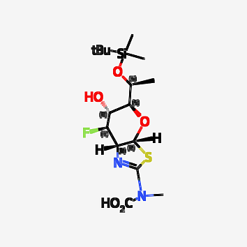 C[C@H](O[Si](C)(C)C(C)(C)C)[C@H]1O[C@@H]2SC(N(C)C(=O)O)=N[C@@H]2[C@@H](F)[C@@H]1O